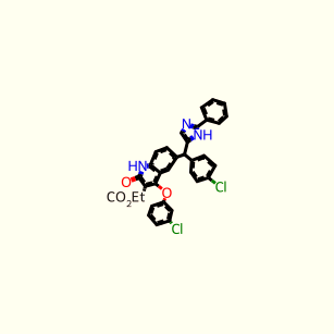 CCOC(=O)c1c(Oc2cccc(Cl)c2)c2cc(C(c3ccc(Cl)cc3)c3cnc(-c4ccccc4)[nH]3)ccc2[nH]c1=O